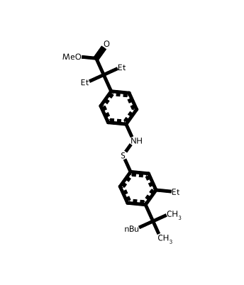 CCCCC(C)(C)c1ccc(SNc2ccc(C(CC)(CC)C(=O)OC)cc2)cc1CC